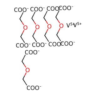 O=C([O-])COCC(=O)[O-].O=C([O-])COCC(=O)[O-].O=C([O-])COCC(=O)[O-].O=C([O-])COCC(=O)[O-].O=C([O-])COCC(=O)[O-].[V+5].[V+5]